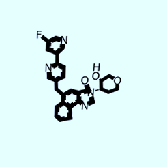 O=c1c2cc(Cc3ccc(-c4cncc(F)c4)nc3)c3ccccc3c2ncn1[C@H]1CCOC[C@@H]1O